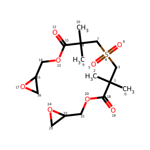 CC(C)(CS(=O)(=O)CC(C)(C)C(=O)OCC1CO1)C(=O)OCC1CO1